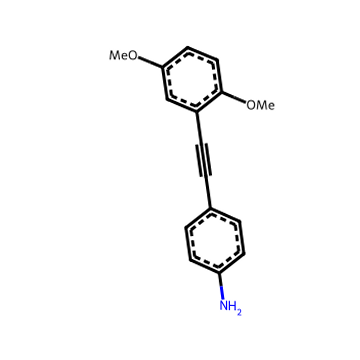 COc1ccc(OC)c(C#Cc2ccc(N)cc2)c1